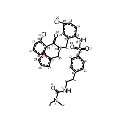 CN(C)C(=O)NCCc1ccc(S(=O)(=O)Nc2ccc(Cl)cc2CN(Cc2ccco2)C(=O)c2ccccc2Cl)cc1